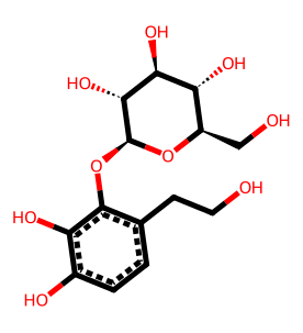 OCCc1ccc(O)c(O)c1O[C@@H]1O[C@H](CO)[C@@H](O)[C@H](O)[C@H]1O